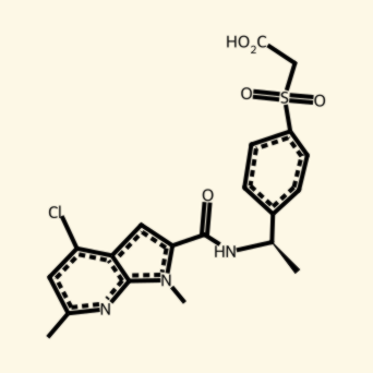 Cc1cc(Cl)c2cc(C(=O)N[C@H](C)c3ccc(S(=O)(=O)CC(=O)O)cc3)n(C)c2n1